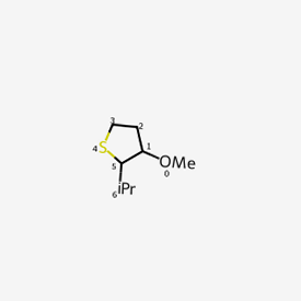 COC1CCSC1C(C)C